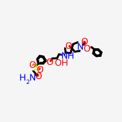 NC(=O)CS(=O)(=O)c1cccc(OC[C@@H](O)CN[C@H]2COC3(CCN(C(=O)OCc4ccccc4)CC3)C2)c1